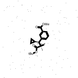 COC(=O)c1cccc([C@H](C2CC2)[C@@](C)(F)C(=O)OC(C)(C)C)c1